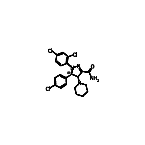 NC(=O)C1=NN(c2ccc(Cl)cc2Cl)[C@H](c2ccc(Cl)cc2)C1N1CCCCC1